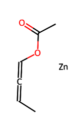 CC=C=COC(C)=O.[Zn]